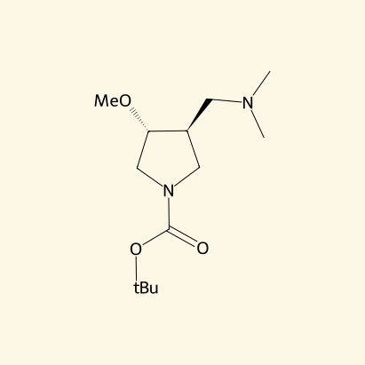 CO[C@H]1CN(C(=O)OC(C)(C)C)C[C@@H]1CN(C)C